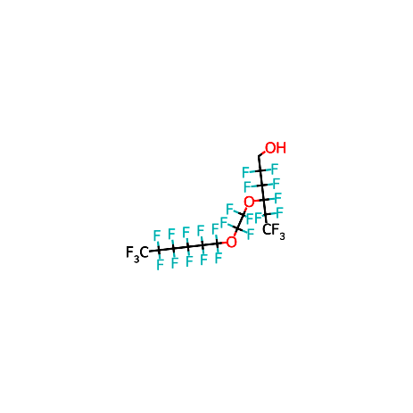 OCC(F)(F)C(F)(F)C(F)(OC(F)(F)C(F)(F)OC(F)(F)C(F)(F)C(F)(F)C(F)(F)C(F)(F)C(F)(F)F)C(F)(F)C(F)(F)F